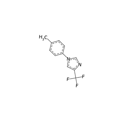 Cc1ccc(-n2cnc(C(F)(F)F)c2)cc1